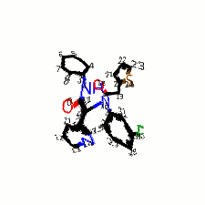 O=C(NC1CCCCC1)C(c1cccnc1)N(C(=O)Cc1cccs1)c1cccc(F)c1